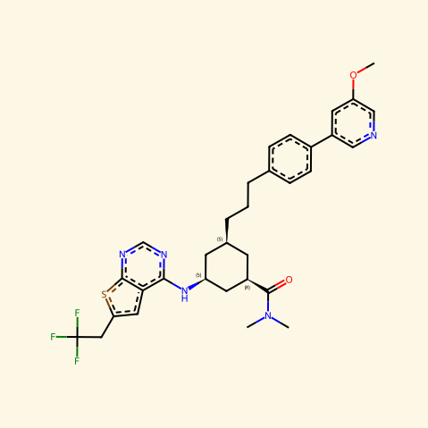 COc1cncc(-c2ccc(CCC[C@@H]3C[C@H](Nc4ncnc5sc(CC(F)(F)F)cc45)C[C@H](C(=O)N(C)C)C3)cc2)c1